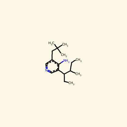 CCC(C)C(CC)c1cncc(CC(C)(C)C)c1N